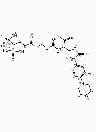 CC(=O)C(NC(=O)OCOC(=O)CCC(P(=O)(O)O)P(=O)(O)O)C1CN(c2ccc(N3CCOCC3)c(F)c2)C(=O)O1